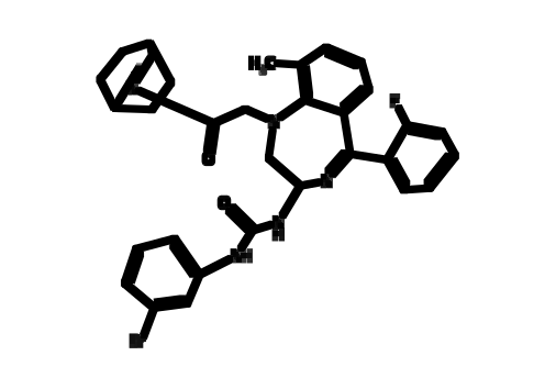 Cc1cccc2c1N(CC(=O)N1CC3CCC(CC3)C1)CC(NC(=O)Nc1cccc(Br)c1)N=C2c1ccccc1F